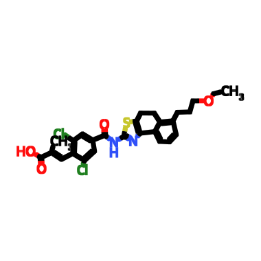 CCOCCCc1cccc2c1CCc1sc(NC(=O)c3cc(Cl)c(C=C(C)C(=O)O)c(Cl)c3)nc1-2